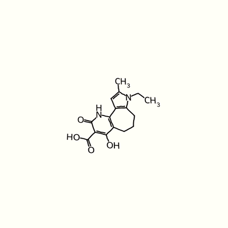 CCn1c(C)cc2c1CCCc1c-2[nH]c(=O)c(C(=O)O)c1O